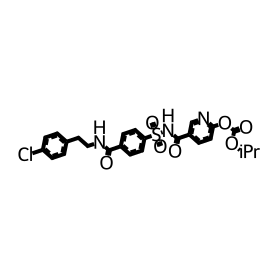 CC(C)OC(=O)Oc1ccc(C(=O)NS(=O)(=O)c2ccc(C(=O)NCCc3ccc(Cl)cc3)cc2)cn1